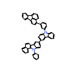 c1ccc(-n2c3ccc(-c4ccc5c(c4)c4ccccc4n5-c4cccc(-c5ccc6c7c(cccc57)-c5ccccc5-6)c4)cc3c3ccc4ccccc4c32)cc1